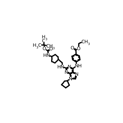 CCOC(=O)c1ccc(Nc2nc(NCC3CCC(NC(=O)OC(C)(C)C)CC3)nc3c2ncn3C2CCCC2)cc1